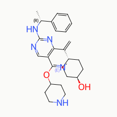 C=C(c1nc(N[C@H](C)c2ccccc2)ncc1/C(=N\C)OC1CCNCC1)[C@H]1CC[C@H](O)CC1